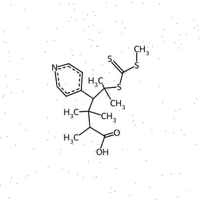 CSC(=S)SC(C)(C)C(c1ccncc1)C(C)(C)C(C)C(=O)O